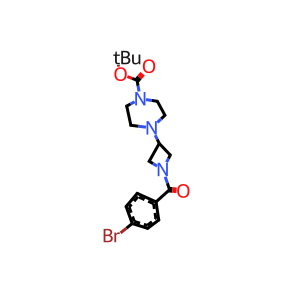 CC(C)(C)OC(=O)N1CCN(C2CN(C(=O)c3ccc(Br)cc3)C2)CC1